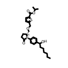 CCCCCCC(O)c1ccc(N2C(=O)CC[C@@H]2COCc2ccc(C(=O)OC(C)C)s2)cc1